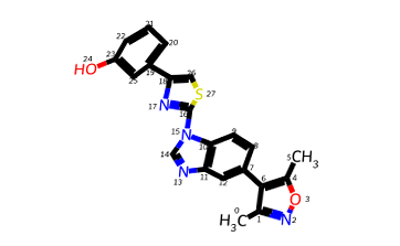 Cc1noc(C)c1-c1ccc2c(c1)ncn2-c1nc(-c2cccc(O)c2)cs1